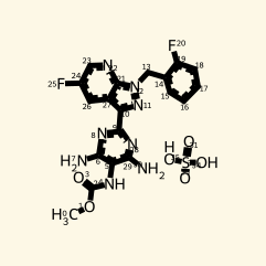 COC(=O)Nc1c(N)nc(-c2nn(Cc3ccccc3F)c3ncc(F)cc23)nc1N.O=S(=O)(O)O